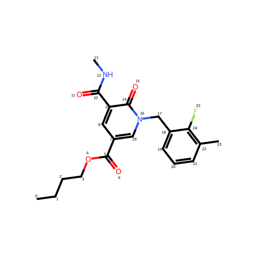 CCCCOC(=O)c1cc(C(=O)NC)c(=O)n(Cc2cccc(C)c2F)c1